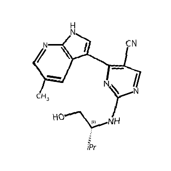 Cc1cnc2[nH]cc(-c3nc(N[C@@H](CO)C(C)C)ncc3C#N)c2c1